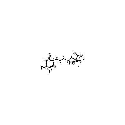 CC(C)[Si](O)(CCCCCc1cc(F)c(F)cc1F)C(C)C